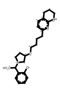 O=C(O)C(c1ccccc1Cl)N1CCC(OCCCCc2ccc3c(n2)NCCC3)C1